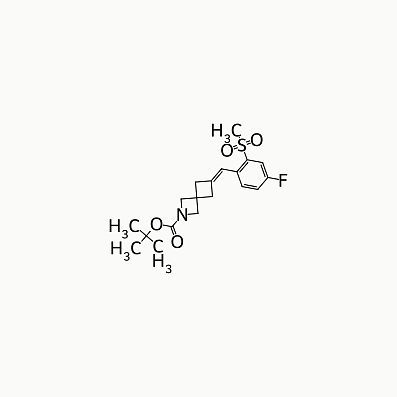 CC(C)(C)OC(=O)N1CC2(CC(=Cc3ccc(F)cc3S(C)(=O)=O)C2)C1